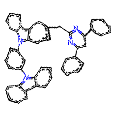 c1ccc(-c2cc(-c3ccccc3)nc(Cc3ccc4c(c3)c3ccccc3n4-c3cccc(-n4c5ccccc5c5ccccc54)c3)n2)cc1